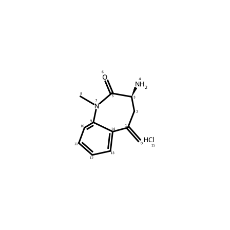 C=C1C[C@H](N)C(=O)N(C)c2ccccc21.Cl